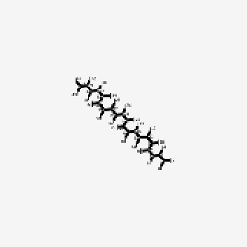 II(I)I(I)I(I)I(I)I(I)I(I)I(I)I(I)I(I)I(I)I(I)I(I)I(I)I(I)I(I)I(I)I(I)I(I)I(I)I(I)I(I)I